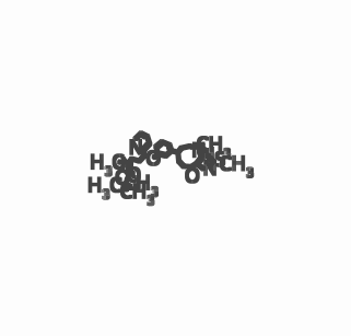 CSc1ncc2c(n1)N(C)CCC(c1cccc(OC(CCN(C)C(=O)OC(C)(C)C)c3ccccn3)c1)CCC2=O